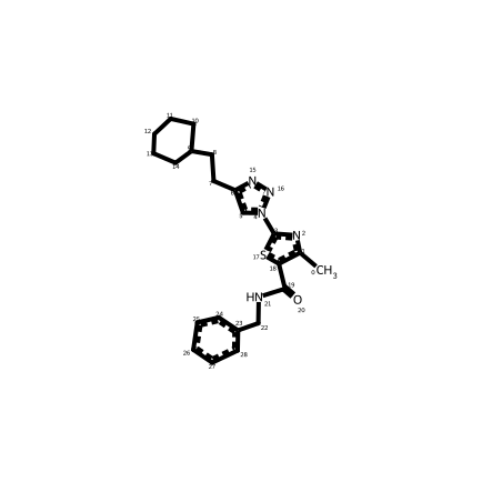 Cc1nc(-n2cc(CCC3CCCCC3)nn2)sc1C(=O)NCc1ccccc1